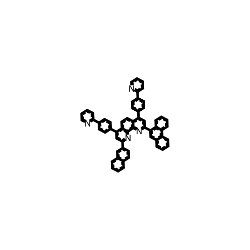 c1ccc(-c2ccc(-c3cc(-c4ccc5ccccc5c4)nc4c3ccc3c(-c5ccc(-c6ccccn6)cc5)cc(-c5cc6ccccc6c6ccccc56)nc34)cc2)nc1